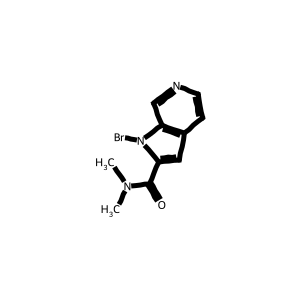 CN(C)C(=O)c1cc2ccncc2n1Br